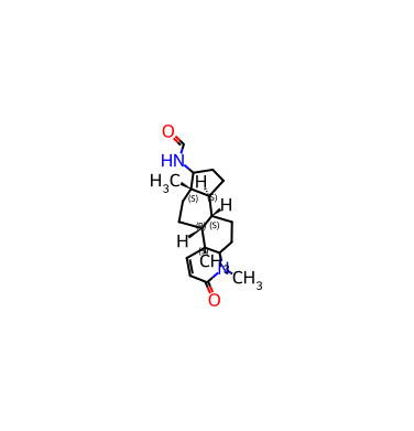 CN1C(=O)C=C[C@@]2(C)C1CC[C@@H]1[C@H]2CC[C@]2(C)C(NC=O)CC[C@@H]12